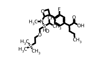 CCCC(C(=O)O)c1ccc(C2COC2N(C)[SH](=O)(COCC[Si](C)(C)C)C(C)C)c(F)c1